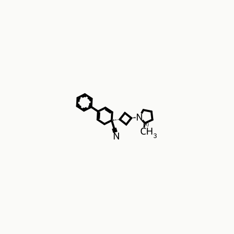 C[C@@H]1CCCN1[C@H]1C[C@@H](C2(C#N)C=CC(c3ccccc3)=CC2)C1